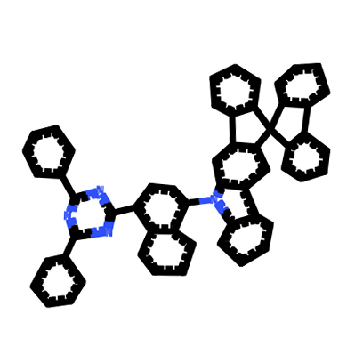 c1ccc(-c2nc(-c3ccccc3)nc(-c3ccc(-n4c5ccccc5c5cc6c(cc54)-c4ccccc4C64c5ccccc5-c5ccccc54)c4ccccc34)n2)cc1